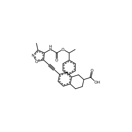 Cc1noc(C#Cc2ccc3c(c2)CC(C(=O)O)CC3)c1NC(=O)OC(C)c1ccccc1